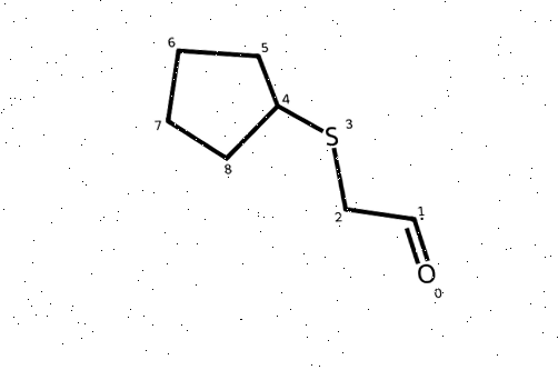 O=[C]CSC1CCCC1